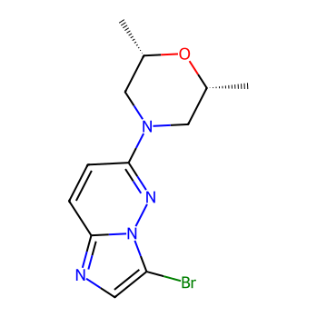 C[C@@H]1CN(c2ccc3ncc(Br)n3n2)C[C@H](C)O1